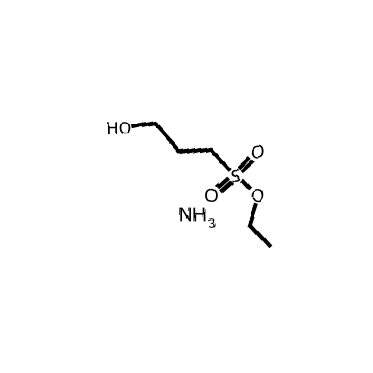 CCOS(=O)(=O)CCCO.N